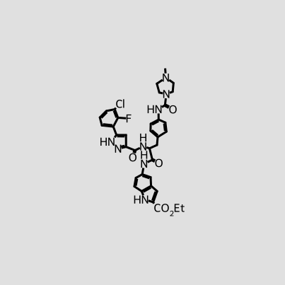 CCOC(=O)c1cc2cc(NC(=O)C(Cc3ccc(NC(=O)N4CCN(C)CC4)cc3)NC(=O)c3cc(-c4cccc(Cl)c4F)[nH]n3)ccc2[nH]1